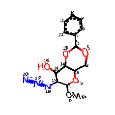 COC1OC2COC(c3ccccc3)OC2C(O)C1N=[N+]=[N-]